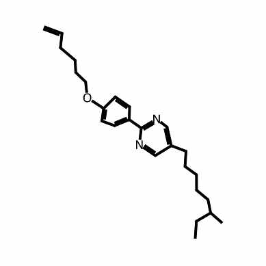 C=CCCCCOc1ccc(-c2ncc(CCCCCC(C)CC)cn2)cc1